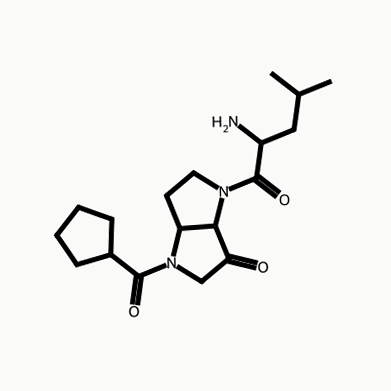 CC(C)CC(N)C(=O)N1CCC2C1C(=O)CN2C(=O)C1CCCC1